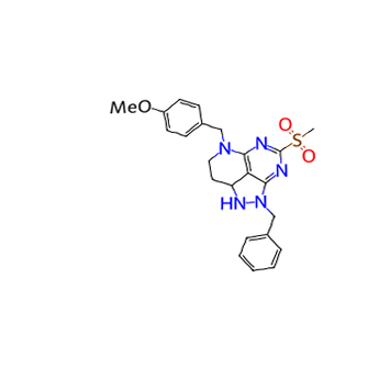 COc1ccc(CN2CCC3NN(Cc4ccccc4)c4nc(S(C)(=O)=O)nc2c43)cc1